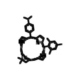 Cc1cc(C)c(-c2c3nc(c(-c4ccc(C(C)C)cc4)c4ccc(cc5nc(cc6ccc2[nH]6)CC5(C)C)[nH]4)C=C3)c(C)c1